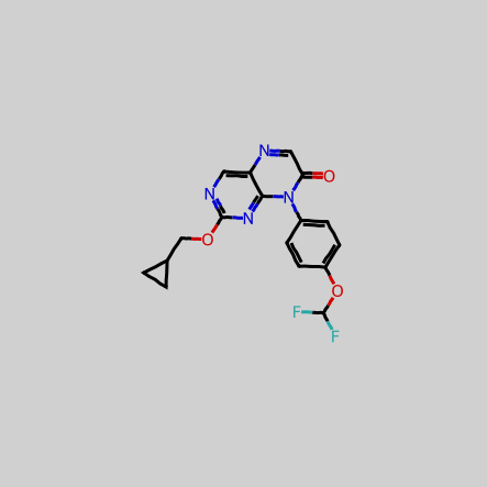 O=c1cnc2cnc(OCC3CC3)nc2n1-c1ccc(OC(F)F)cc1